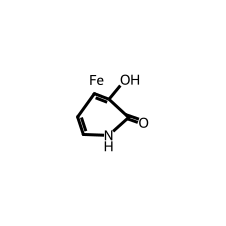 O=c1[nH]cccc1O.[Fe]